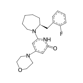 O=c1cc(N2CCOCC2)cc(N2CCCCC[C@H]2Cc2ccccc2F)[nH]1